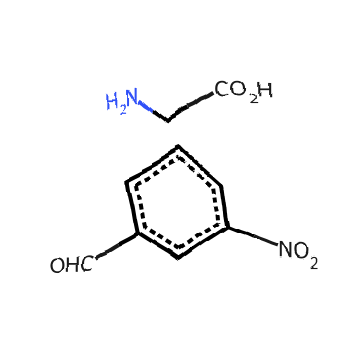 NCC(=O)O.O=Cc1cccc([N+](=O)[O-])c1